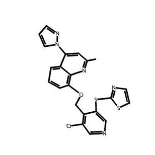 Cc1cc(-n2cccn2)c2cccc(OCc3c(Cl)cncc3Sc3nccs3)c2n1